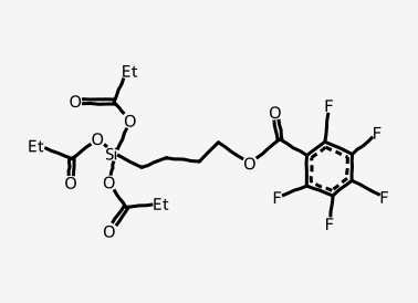 CCC(=O)O[Si](CCCCOC(=O)c1c(F)c(F)c(F)c(F)c1F)(OC(=O)CC)OC(=O)CC